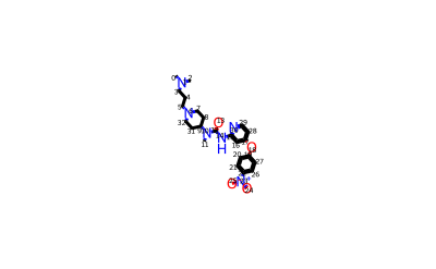 CN(C)CCCN1CCC(N(C)C(=O)Nc2cc(Oc3ccc([N+](=O)[O-])cc3)ccn2)CC1